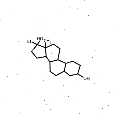 CCC1(O)CCC2C3CCC4CC(O)CCC4C3CCC21C